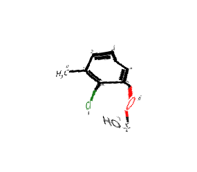 Cc1cccc(OC(=O)O)c1Cl